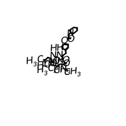 CCNC(=O)C(NC(=O)C(Cc1ccc(OC(=O)CN2CCCCC2)cc1)NC(=O)NC(CC(C)C)C(=O)O)C(C)CC